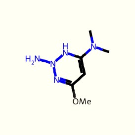 COC1=NN(N)NC(N(C)C)=C1